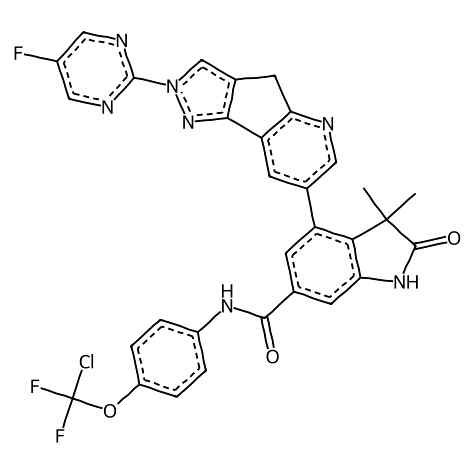 CC1(C)C(=O)Nc2cc(C(=O)Nc3ccc(OC(F)(F)Cl)cc3)cc(-c3cnc4c(c3)-c3nn(-c5ncc(F)cn5)cc3C4)c21